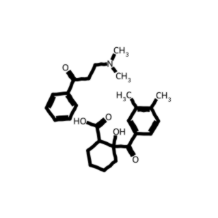 CN(C)CCC(=O)c1ccccc1.Cc1ccc(C(=O)C2(O)CCCCC2C(=O)O)cc1C